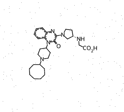 O=C(O)CN[C@H]1CCN(c2nc3ccccc3n(C3CCN(C4CCCCCCC4)CC3)c2=O)C1